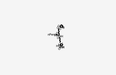 CCCCCC(=O)NC(CCCCC(=O)ON1C(=O)CCC1=O)NC(=O)CCCC[C@@H]1SC[C@@H]2NC(=O)N[C@@H]21